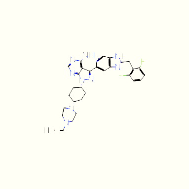 CCN1CCN([C@H]2CC[C@H](n3nc(-c4ccc5[nH]c(Cc6c(F)cccc6F)nc5c4)c4c(N)ncnc43)CC2)CC1